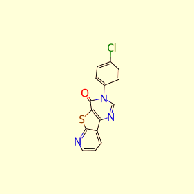 O=c1c2sc3ncccc3c2ncn1-c1ccc(Cl)cc1